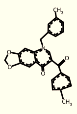 Cc1ccc(C(=O)c2cn(Cc3cccc(C)c3)c3cc4c(cc3c2=O)OCO4)cc1